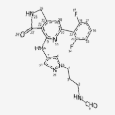 O=CNCCCn1cc(Nc2nc(-c3c(F)cccc3F)cc3c2C(=O)NC3)cn1